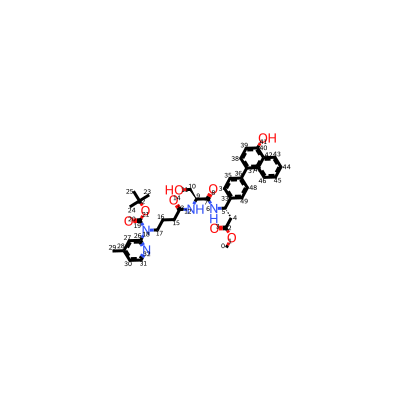 COC(=O)C[C@H](NC(=O)[C@H](CO)NC(=O)CCCN(C(=O)OC(C)(C)C)c1cc(C)ccn1)c1ccc(-c2ccc(O)c3ccccc23)cc1